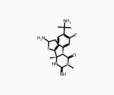 CN1C(=N)N[C@](C)(C2=CCC(N)S2)[C@@H](c2ccc(C(C)(C)N)c(F)c2)C1=O